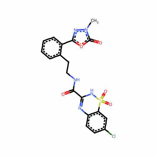 Cn1nc(-c2ccccc2CCNC(=O)C2=Nc3ccc(Cl)cc3S(=O)(=O)N2)oc1=O